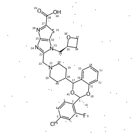 C[C@@]1(c2ccc(Cl)cc2F)Oc2ccccc2C(C2CCN(Cc3nc4nc(C(=O)O)sc4n3C[C@@H]3CCO3)CC2)O1